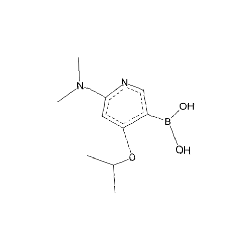 CC(C)Oc1cc(N(C)C)ncc1B(O)O